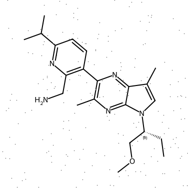 CC[C@H](COC)n1cc(C)c2nc(-c3ccc(C(C)C)nc3CN)c(C)nc21